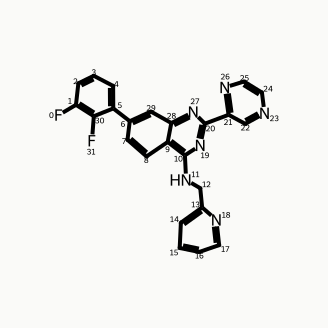 Fc1cccc(-c2ccc3c(NCc4ccccn4)nc(-c4cnccn4)nc3c2)c1F